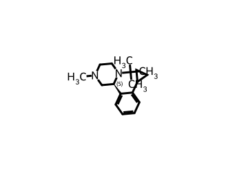 CN1CCN(C(C)(C)C)[C@@H](c2ccccc2C2CC2)C1